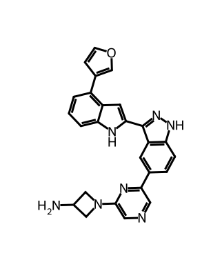 NC1CN(c2cncc(-c3ccc4[nH]nc(-c5cc6c(-c7ccoc7)cccc6[nH]5)c4c3)n2)C1